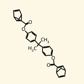 CC(C)(c1ccc(OC(=O)C2=CC3C=CC2C3)cc1)c1ccc(OC(=O)C2=CC3C=CC2C3)cc1